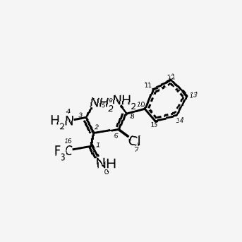 N=C(C(=C(N)N)/C(Cl)=C(\N)c1ccccc1)C(F)(F)F